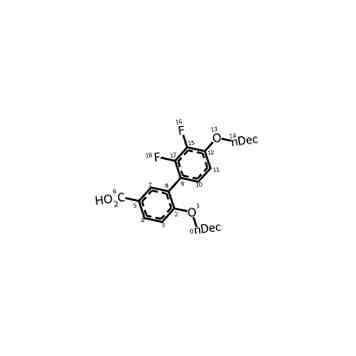 CCCCCCCCCCOc1ccc(C(=O)O)cc1-c1ccc(OCCCCCCCCCC)c(F)c1F